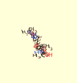 CCN(C)Cc1nc(N2CCC(CCCOc3ccc(C(=O)N[C@H](C)CO)c(C)c3)CC2)no1